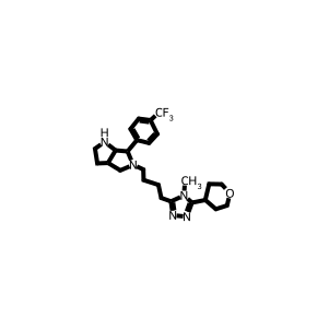 Cn1c(CCCCN2CC3CCNC3C2c2ccc(C(F)(F)F)cc2)nnc1C1CCOCC1